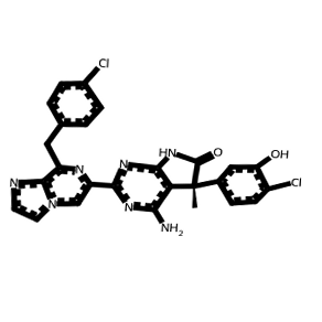 C[C@]1(c2ccc(Cl)c(O)c2)C(=O)Nc2nc(-c3cn4ccnc4c(Cc4ccc(Cl)cc4)n3)nc(N)c21